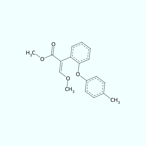 CO/C=C(/C(=O)OC)c1ccccc1Oc1ccc(C)cc1